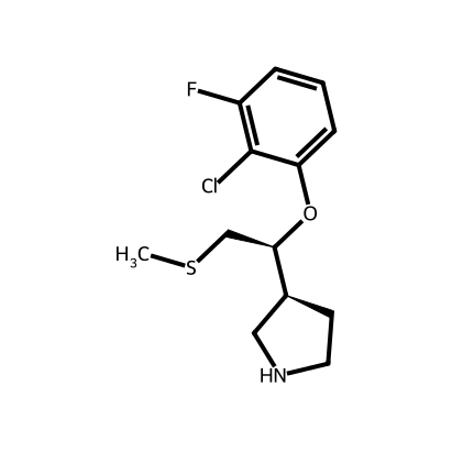 CSC[C@@H](Oc1cccc(F)c1Cl)[C@H]1CCNC1